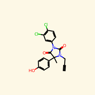 C#CCN1C(=O)N(c2ccc(Cl)c(Cl)c2)C(=O)C1(C)c1ccc(O)cc1